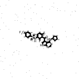 O=C(c1c[nH]c2ncnc(NC3CCCC3)c12)C1C(F)=CC=C(NS(=O)(=O)c2ccc(C(F)(F)F)cc2)C1F